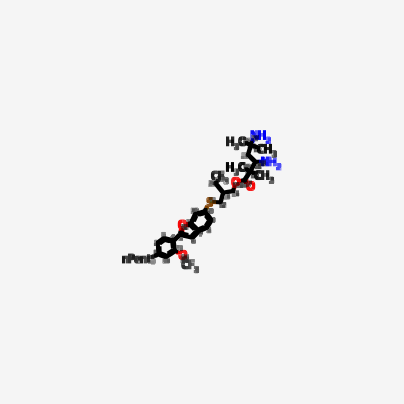 CCCCCc1ccc(-c2cc3ccc(SCC(COC(=O)C(C)(C)C(N)CC(C)(C)N)CC(F)(F)F)cc3o2)c(OC(F)(F)F)c1